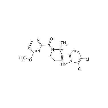 COc1ccnc(C(=O)N2CCc3[nH]c4c(Cl)c(Cl)ccc4c3[C@H]2C)n1